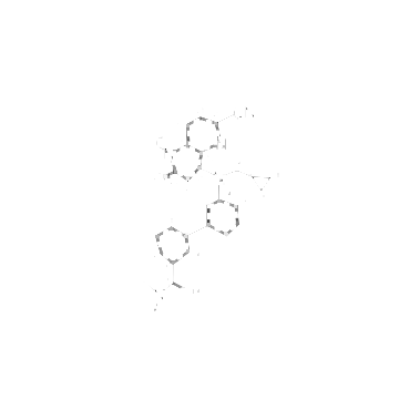 CN(C)C(=O)c1cccc(-c2cccc(N(CC3CC3)c3cc(=O)n(C)c4ccc(C#N)nc34)c2)c1